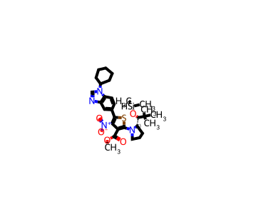 COC(=O)c1c(N2CCC[C@H]2C(O[SiH](C)C)C(C)(C)C)sc(-c2ccc3c(c2)ncn3C2CCCCC2)c1[N+](=O)[O-]